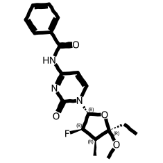 CC[C@@]1(OC)O[C@@H](n2ccc(NC(=O)c3ccccc3)nc2=O)[C@H](F)[C@@H]1C